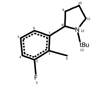 Cc1c(F)cccc1C1CCCN1C(C)(C)C